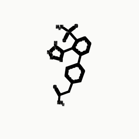 NC(=O)Cc1ccc(-c2cccc(S(N)(=O)=O)c2-c2nnn[nH]2)cc1